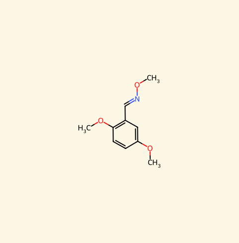 CO/N=C/c1cc(OC)ccc1OC